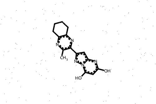 Cc1nc2c(nc1-c1cc3nc(O)cc(O)n3n1)CCCC2